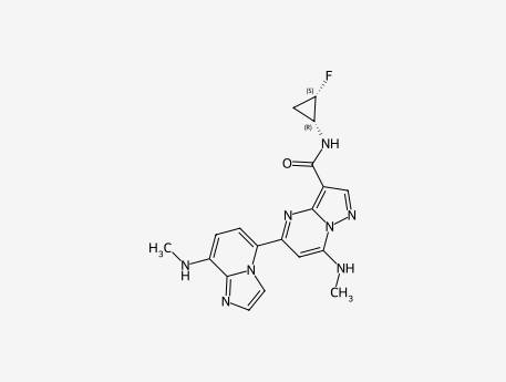 CNc1ccc(-c2cc(NC)n3ncc(C(=O)N[C@@H]4C[C@@H]4F)c3n2)n2ccnc12